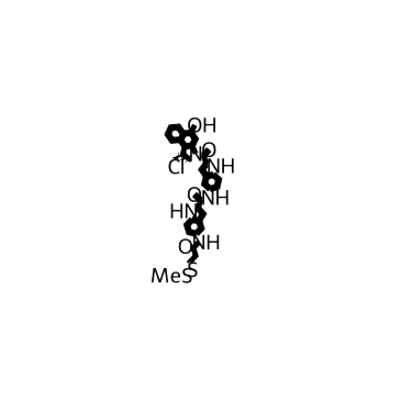 CSSCCC(=O)Nc1ccc2[nH]c(C(=O)Nc3ccc4[nH]c(C(=O)N5C[C@@H](CCl)c6c5cc(O)c5ccccc65)cc4c3)cc2c1